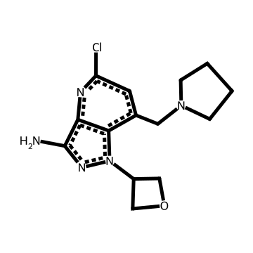 Nc1nn(C2COC2)c2c(CN3CCCC3)cc(Cl)nc12